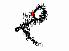 C=C1C[C@@H]2CC[C@@]34CC5OC6C(O[C@H]7CC[C@H](CC(=O)C[C@@H]8[C@@H](OC)[C@@H](C[C@H](O)CNC(=O)CNC(=O)[C@H](Cc9ccccc9)NC(=O)CNC(=O)CN9CCN(C(=O)CCOCCOCC)CC9)O[C@H]8C[C@H]8O[C@@H](CC[C@@H]1O2)C[C@@H](C)C8=C)O[C@@H]7[C@@H]6O3)[C@H]5O4